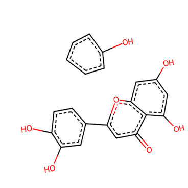 O=c1cc(-c2ccc(O)c(O)c2)oc2cc(O)cc(O)c12.Oc1ccccc1